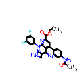 CCOC(=O)c1cc(-c2ccc(NC(C)=O)cc2)c(C(=N)C2CNC2)c(Nc2cc(F)cc(F)c2)n1